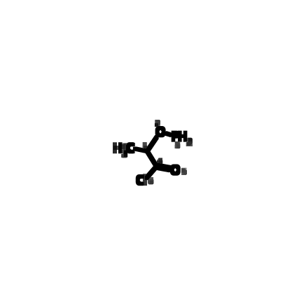 CC(OP)C(=O)Cl